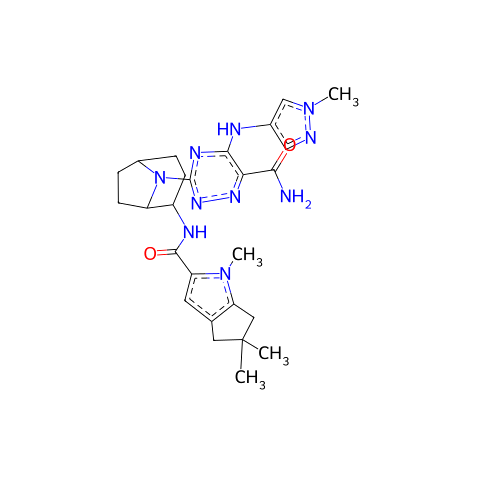 Cn1cc(Nc2nc(N3C4CCC(NC(=O)c5cc6c(n5C)CC(C)(C)C6)C3CC4)nnc2C(N)=O)cn1